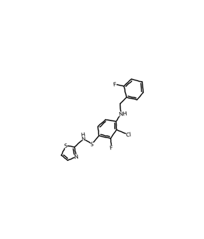 Fc1ccccc1CNc1ccc(SNc2nccs2)c(F)c1Cl